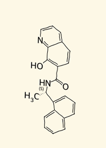 C[C@H](NC(=O)c1ccc2cccnc2c1O)c1cccc2ccccc12